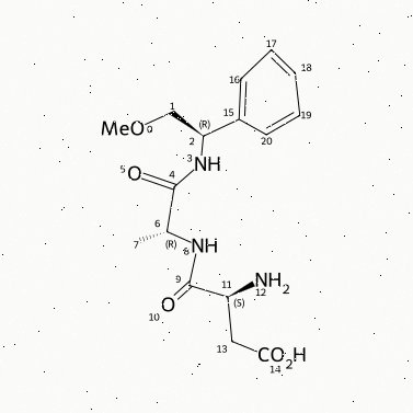 COC[C@H](NC(=O)[C@@H](C)NC(=O)[C@@H](N)CC(=O)O)c1ccccc1